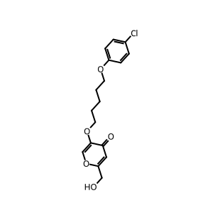 O=c1cc(CO)occ1OCCCCCOc1ccc(Cl)cc1